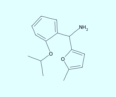 Cc1ccc(C(N)c2ccccc2OC(C)C)o1